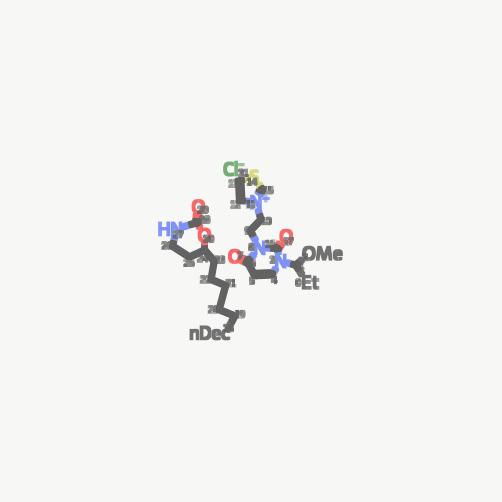 CCC(OC)n1ccc(=O)n(CC[n+]2ccsc2)c1=O.CCCCCCCCCCCCCCCC1CCNC(=O)O1.[Cl-]